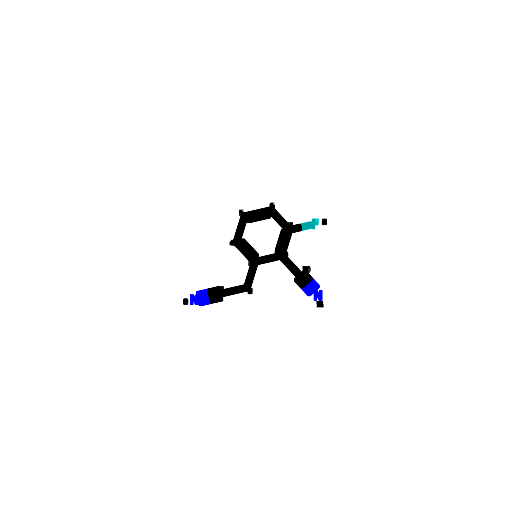 N#CCc1cccc(F)c1C#N